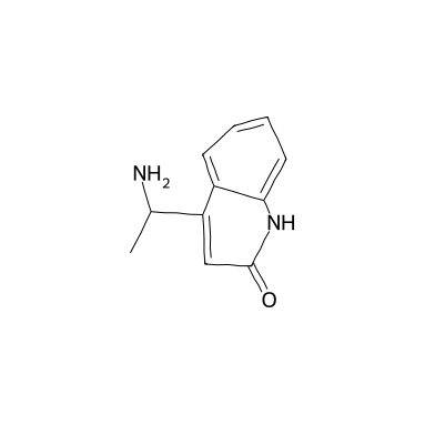 CC(N)c1cc(=O)[nH]c2ccccc12